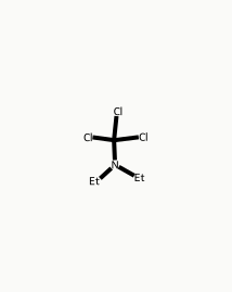 CCN(CC)C(Cl)(Cl)Cl